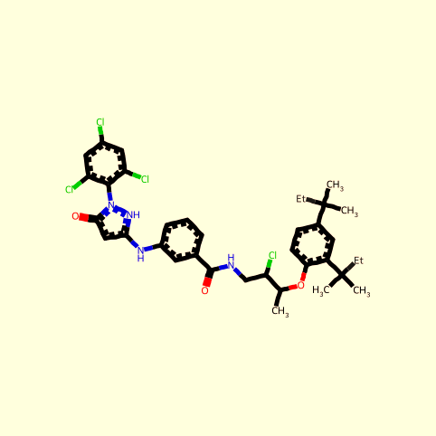 CCC(C)(C)c1ccc(OC(C)C(Cl)CNC(=O)c2cccc(Nc3cc(=O)n(-c4c(Cl)cc(Cl)cc4Cl)[nH]3)c2)c(C(C)(C)CC)c1